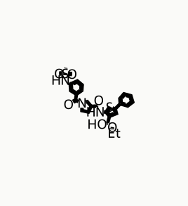 CCOC(O)c1cc(-c2ccccc2)sc1NC(=O)C1CCN(C(=O)c2cccc(NS(C)(=O)=O)c2)C1